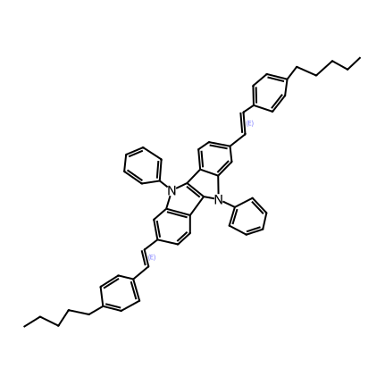 CCCCCc1ccc(/C=C/c2ccc3c(c2)n(-c2ccccc2)c2c4ccc(/C=C/c5ccc(CCCCC)cc5)cc4n(-c4ccccc4)c32)cc1